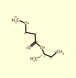 CC[C@H](C)OC(=O)CCOC